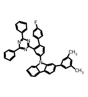 Cc1cc(C)cc(-c2ccc3c4ccccc4n(-c4ccc(-c5ccc(F)cc5)c(-c5nc(-c6ccccc6)nc(-c6ccccc6)n5)c4)c3c2)c1